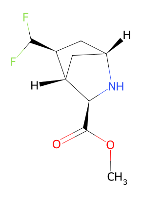 COC(=O)[C@@H]1N[C@@H]2C[C@H]1[C@@H](C(F)F)C2